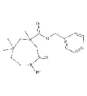 CC(C)N1CCC(C)(C)CC(C)(C(=O)OCc2ccccc2)CC1=O